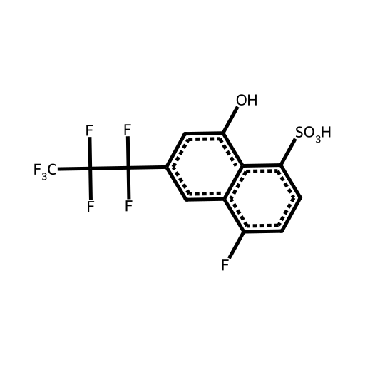 O=S(=O)(O)c1ccc(F)c2cc(C(F)(F)C(F)(F)C(F)(F)F)cc(O)c12